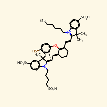 CC(C)(C)CCCCC[N+]1=C(/C=C/C2=C(Oc3ccc(S)cc3)C(=C/C=C3/N(CCCCS(=O)(=O)O)c4ccc(S(=O)(=O)O)cc4C3(C)C)/CCC2)C(C)(C)c2cc(S(=O)(=O)O)ccc21